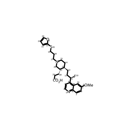 COc1ccc2nccc([C@H](F)CC[C@@H]3CCN(CCCSc4ccco4)C[C@H]3CCC(=O)O)c2c1